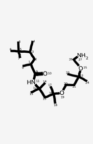 CC(CC(C)C(C)(C)C)C(=O)NC(C)(C)CC(C)(C)OCCC(C)(C)OCN